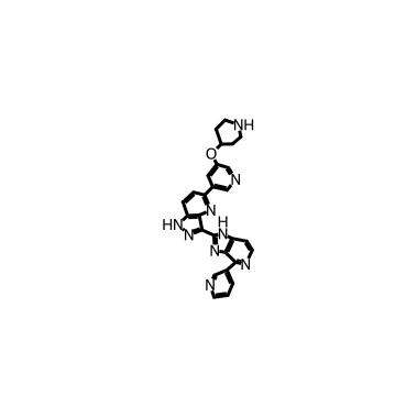 c1cncc(-c2nccc3[nH]c(-c4n[nH]c5ccc(-c6cncc(OC7CCNCC7)c6)nc45)nc23)c1